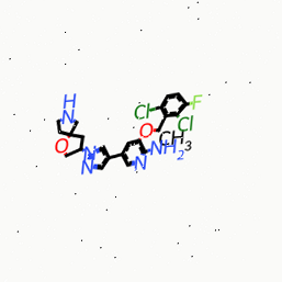 C[C@@H](Oc1cc(-c2cnn(C3COC4(CCNC4)C3)c2)cnc1N)c1c(Cl)ccc(F)c1Cl